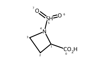 O=C(O)C1CCN1[SH](=O)=O